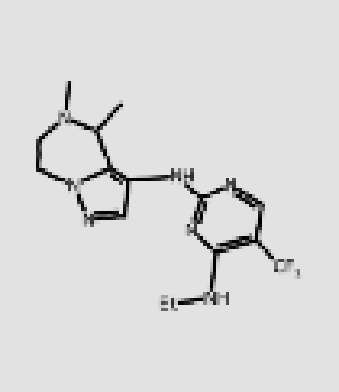 CCNc1nc(Nc2cnn3c2C(C)N(C)CC3)ncc1C(F)(F)F